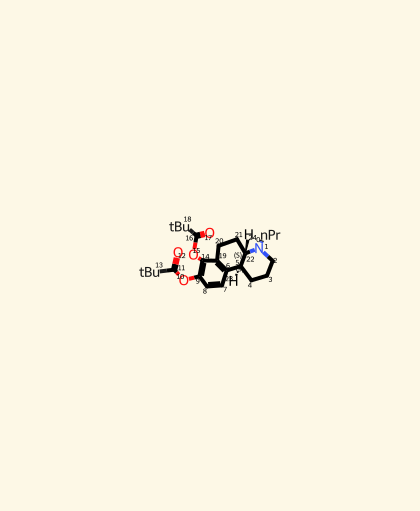 CCCN1CCC[C@H]2c3ccc(OC(=O)C(C)(C)C)c(OC(=O)C(C)(C)C)c3CC[C@@H]21